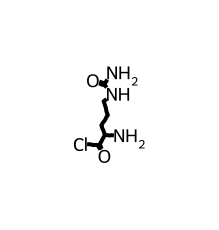 NC(=O)NCCCC(N)C(=O)Cl